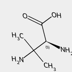 CC(C)(N)[C@H](N)C(=O)O